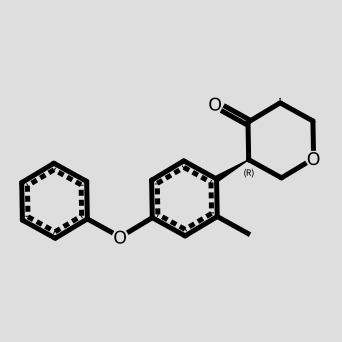 Cc1cc(Oc2ccccc2)ccc1[C@@H]1COC[CH]C1=O